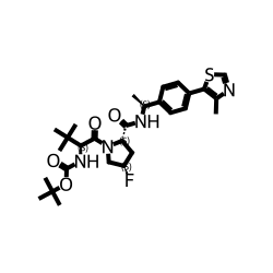 Cc1ncsc1-c1ccc([C@H](C)NC(=O)[C@@H]2C[C@H](F)CN2C(=O)[C@@H](NC(=O)OC(C)(C)C)C(C)(C)C)cc1